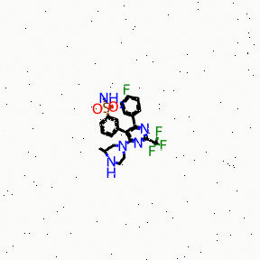 CC1CN(c2nc(C(F)(F)F)nc(-c3ccc(F)cc3)c2-c2cccc(S(N)(=O)=O)c2)CCN1